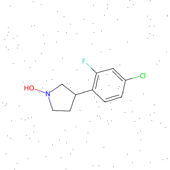 ON1CCC(c2ccc(Cl)cc2F)C1